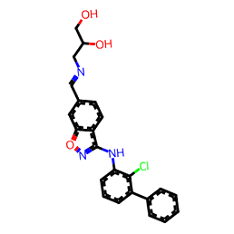 OCC(O)CN=Cc1ccc2c(Nc3cccc(-c4ccccc4)c3Cl)noc2c1